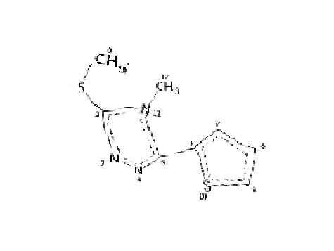 [CH2]Sc1nnc(-c2cccs2)n1C